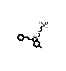 CC[Si](CC)(CC)CCOCn1nc(/C=C/c2ccccc2)c2ccc(I)cc21